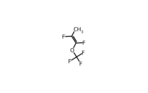 C/C(F)=C(\F)OC(F)(F)F